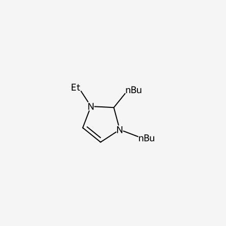 CCCCC1N(CC)C=CN1CCCC